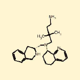 CC(C)(CCN)CN(C[C@H]1Cc2ccccc2CN1)[C@H]1CCCc2cccnc21